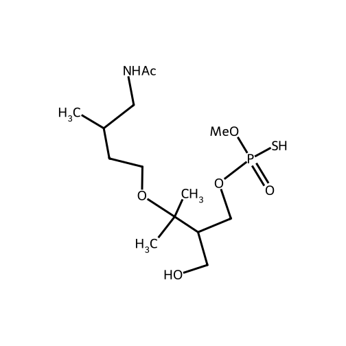 COP(=O)(S)OCC(CO)C(C)(C)OCCC(C)CNC(C)=O